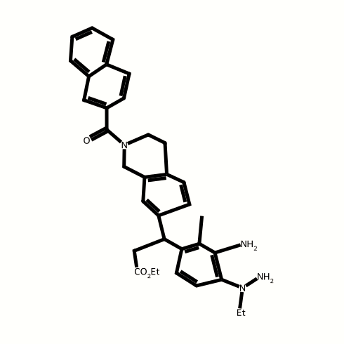 CCOC(=O)CC(c1ccc2c(c1)CN(C(=O)c1ccc3ccccc3c1)CC2)c1ccc(N(N)CC)c(N)c1C